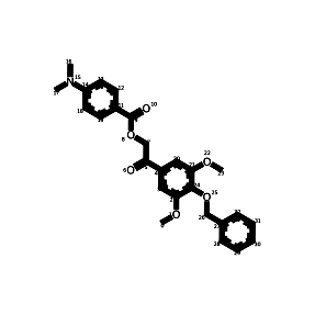 COc1cc(C(=O)COC(=O)c2ccc(N(C)C)cc2)cc(OC)c1OCc1ccccc1